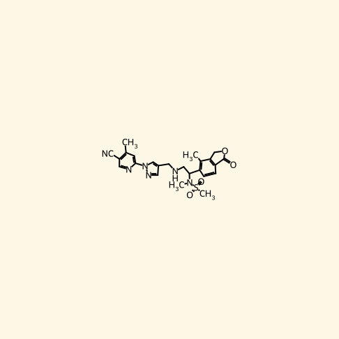 Cc1cc(-n2cc(CNCC(c3ccc4c(c3C)COC4=O)N(C)S(C)(=O)=O)cn2)ncc1C#N